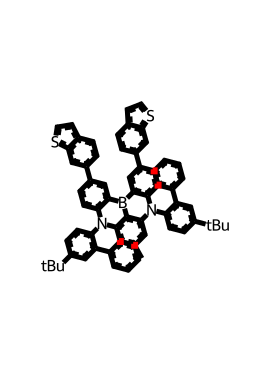 Cc1cc2c3c(c1)N(c1ccc(C(C)(C)C)cc1-c1ccccc1)c1ccc(-c4ccc5ccsc5c4)cc1B3c1cc(-c3ccc4ccsc4c3)ccc1N2c1ccc(C(C)(C)C)cc1-c1ccccc1